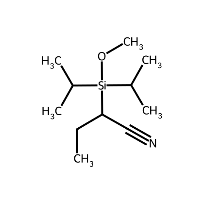 CCC(C#N)[Si](OC)(C(C)C)C(C)C